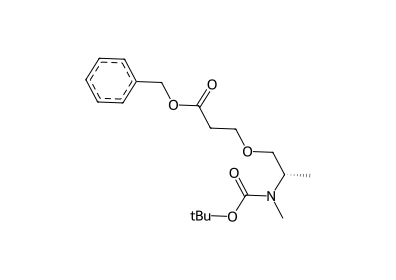 C[C@@H](COCCC(=O)OCc1ccccc1)N(C)C(=O)OC(C)(C)C